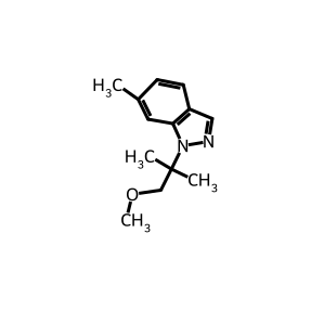 COCC(C)(C)n1ncc2ccc(C)cc21